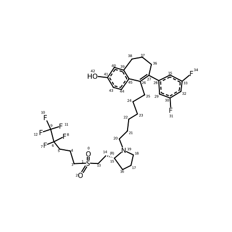 O=S(=O)(CCCC(F)(F)C(F)(F)F)CC[C@H]1CCCN1CCCCCCC1=C(c2cc(F)cc(F)c2)CCCc2cc(O)ccc21